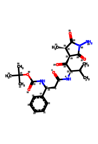 CC(C)[C@H](NC(=O)C[C@H](NC(=O)OC(C)(C)C)c1ccccc1)C(=O)[C@@H]1C(=O)N(N)C(=O)[C@H]1C